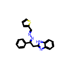 C(=NN=C(Cc1nc2ccccc2[nH]1)c1ccccc1)c1cccs1